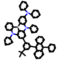 CC(C)(C)c1cc(-c2cc3c4c(c2)N(c2ccccc2)c2cc(N(c5ccccc5)c5ccccc5)ccc2B4c2ccccc2N3c2ccccc2)cc(-c2c3ccccc3c(-c3ccccc3)c3ccccc23)c1